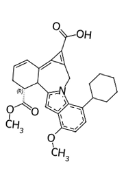 COC(=O)[C@@H]1CC=CC2=C3C(=C3C(=O)O)Cn3c(cc4c(OC)ccc(C5CCCCC5)c43)C21